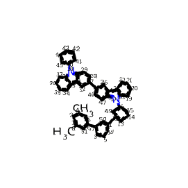 Cc1cc(C)cc(-c2cccc(-c3cccc(-n4c5ccccc5c5cc(-c6ccc7c(c6)c6ccccc6n7-c6ccccc6)ccc54)c3)c2)c1